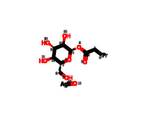 CC(C)CC(=O)O[C@@H]1O[C@H](CO)[C@@H](O)[C@H](O)[C@H]1O.[O]=[Ag]